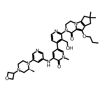 CCCOc1c2c(n3c1C(=O)N(c1nccc(-c4cc(Nc5cncc(N6CCN(C7COC7)C[C@@H]6C)c5)c(=O)n(C)c4)c1CO)CC3)CC(C)(C)C2